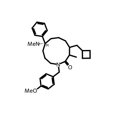 CN[C@]1(c2ccccc2)CCCC(CC2CCC2)C(C)C(=O)N(Cc2ccc(OC)cc2)CCC1